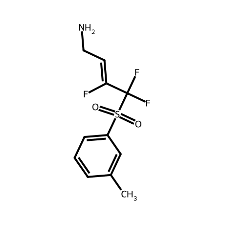 Cc1cccc(S(=O)(=O)C(F)(F)/C(F)=C/CN)c1